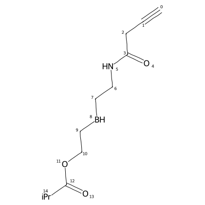 C#CCC(=O)NCCBCCOC(=O)C(C)C